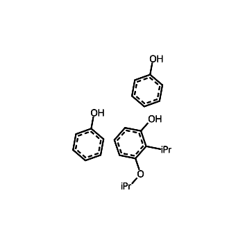 CC(C)Oc1cccc(O)c1C(C)C.Oc1ccccc1.Oc1ccccc1